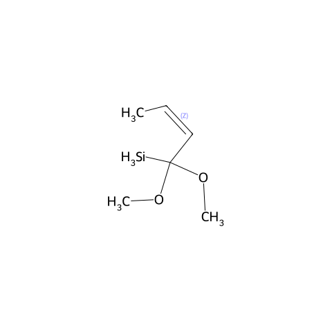 C/C=C\C([SiH3])(OC)OC